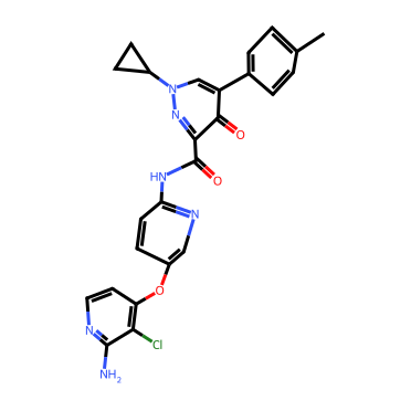 Cc1ccc(-c2cn(C3CC3)nc(C(=O)Nc3ccc(Oc4ccnc(N)c4Cl)cn3)c2=O)cc1